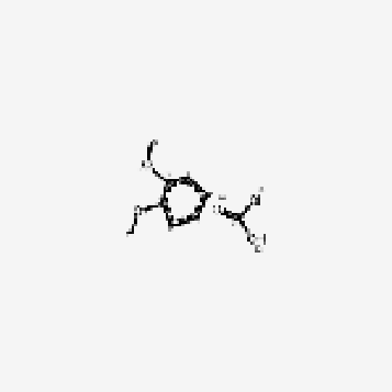 COc1ccccc1OC.O=C(O)O